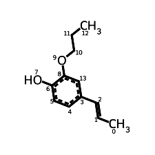 CC=Cc1ccc(O)c(OCCC)c1